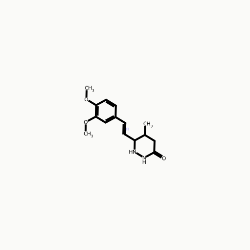 COc1ccc(/C=C/C2NNC(=O)CC2C)cc1OC